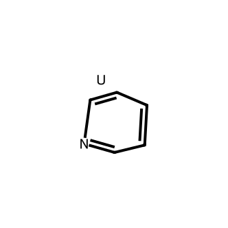 [U].c1ccncc1